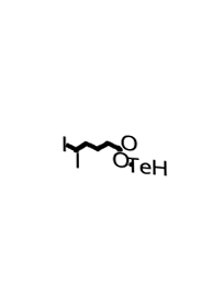 O=C(CCCC(I)I)O[TeH]